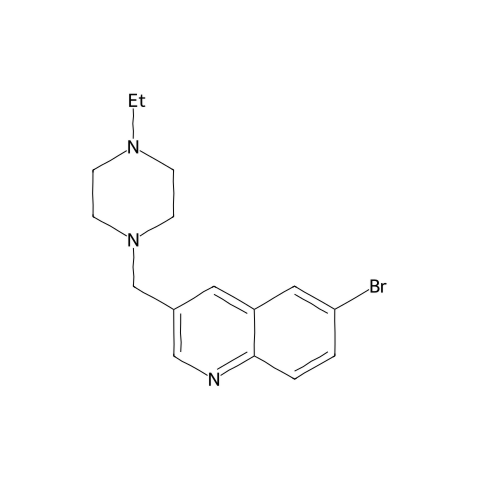 CCN1CCN(Cc2cnc3ccc(Br)cc3c2)CC1